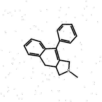 CN1CC2=C(c3ccccc3)c3ccccc3CC2C1